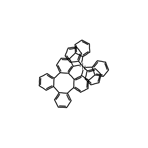 c1ccc(-n2c3ccccc3c3ccc4c(c32)-c2c(ccc3c5ccccc5n(-c5ccccc5)c23)-c2ccccc2-c2ccccc2-4)cc1